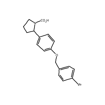 CC(C)c1ccc(COc2ccc(C3CCCN3C(=O)O)cc2)cc1